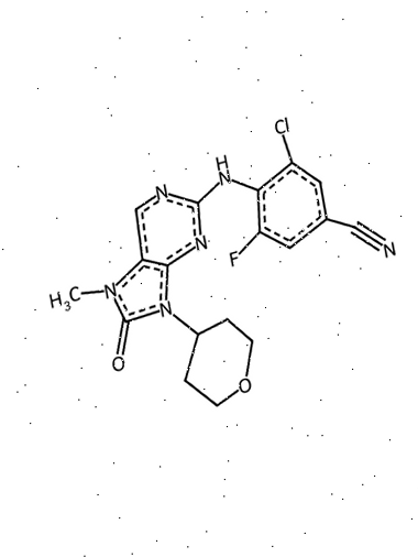 Cn1c(=O)n(C2CCOCC2)c2nc(Nc3c(F)cc(C#N)cc3Cl)ncc21